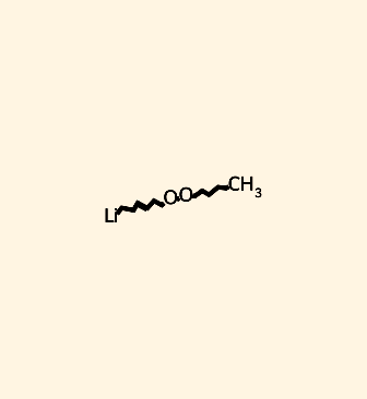 [Li][CH2]C/C=C/CCOCOCCCCCC